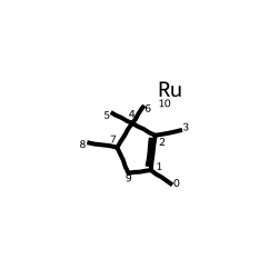 CC1=C(C)C(C)(C)C(C)C1.[Ru]